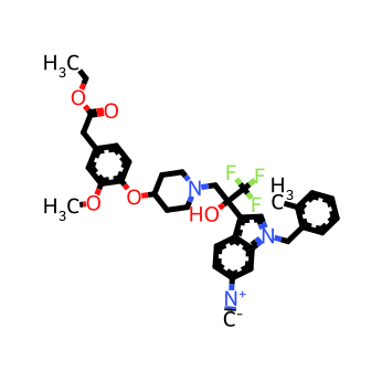 [C-]#[N+]c1ccc2c(C(O)(CN3CCC(Oc4ccc(CC(=O)OCC)cc4OC)CC3)C(F)(F)F)cn(Cc3ccccc3C)c2c1